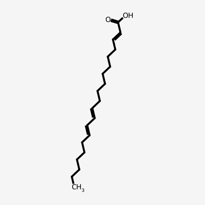 CCCCCCC=CC=CCCCCCCCC=CC(=O)O